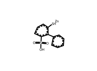 O=S(=O)(O)c1cccc(S)c1-c1ccccc1.[Zn]